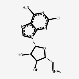 CC(=O)NC[C@H]1O[C@@H](n2cnc3c(N)nc(Cl)nc32)[C@H](O)[C@@H]1O